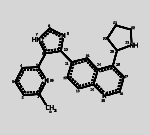 Cc1cccc(-c2[nH]cnc2-c2ccc3nccc(C4CCCN4)c3c2)n1